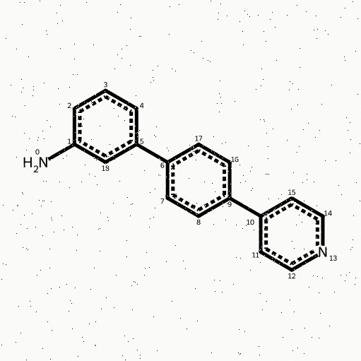 Nc1cccc(-c2ccc(-c3ccncc3)cc2)c1